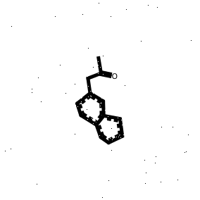 CC(=O)Cc1ccc2c[c]ccc2c1